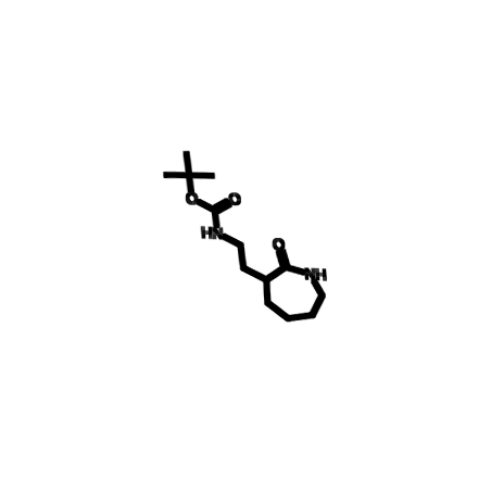 CC(C)(C)OC(=O)NCCC1CCCCNC1=O